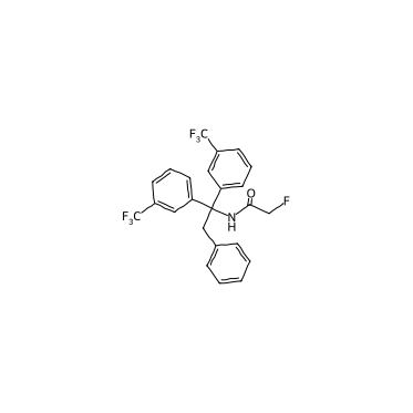 O=C(CF)NC(Cc1ccccc1)(c1cccc(C(F)(F)F)c1)c1cccc(C(F)(F)F)c1